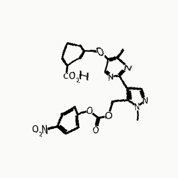 Cc1nc(-c2cnn(C)c2COC(=O)Oc2ccc([N+](=O)[O-])cc2)ncc1OC1CCCC(C(=O)O)C1